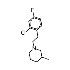 CC1CCCN(CCc2ccc(F)cc2Cl)C1